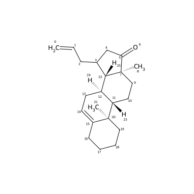 C=CCC1CC(=O)[C@@]2(C)CC[C@H]3[C@@H](CC=C4CCCC[C@@]43C)[C@H]12